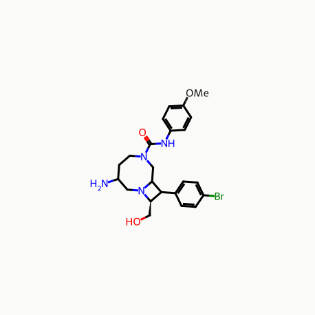 COc1ccc(NC(=O)N2CCC(N)CN3C(C2)C(c2ccc(Br)cc2)[C@H]3CO)cc1